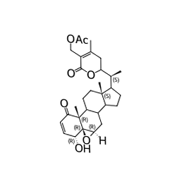 CC(=O)OCC1=C(C)CC([C@@H](C)C2CCC3C4C[C@H]5O[C@]56[C@H](O)C=CC(=O)[C@]6(C)C4CC[C@@]32C)OC1=O